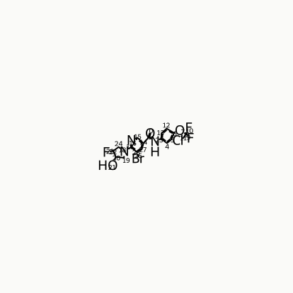 O=C(Nc1ccc(OC(F)(F)Cl)cc1)c1cnc(N2CC(O)C(F)C2)c(Br)c1